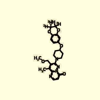 [2H]C1([2H])Oc2ccc(OC3CCN(c4nn5c(=O)ccnc5c(C)c4COC)CC3)cc2OC1([2H])[2H]